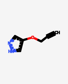 C#CCOc1cn[nH]c1